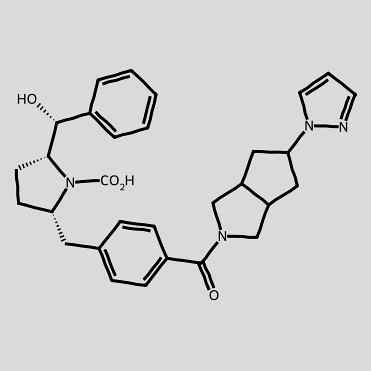 O=C(c1ccc(C[C@@H]2CC[C@H]([C@H](O)c3ccccc3)N2C(=O)O)cc1)N1CC2CC(n3cccn3)CC2C1